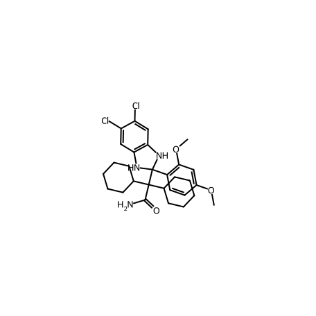 COc1ccc(C2(C(C(N)=O)(C3CCCCC3)C3CCCCC3)Nc3cc(Cl)c(Cl)cc3N2)c(OC)c1